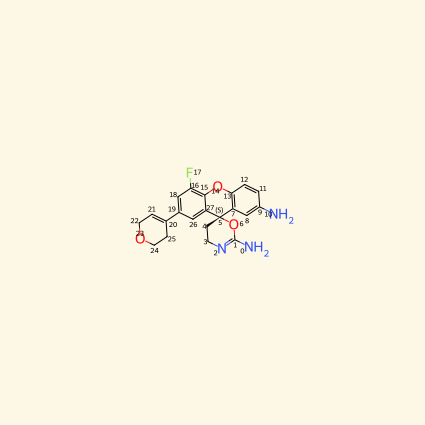 NC1=NCC[C@]2(O1)c1cc(N)ccc1Oc1c(F)cc(C3=CCOCC3)cc12